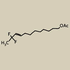 CC(=O)OCCCCCCCCC=CC(C)(F)F